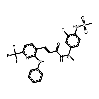 C[C@@H](NC(=O)C=Cc1ccc(C(F)(F)F)nc1Nc1ccccc1)c1ccc(NS(C)(=O)=O)c(F)c1